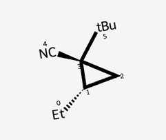 CC[C@H]1C[C@@]1(C#N)C(C)(C)C